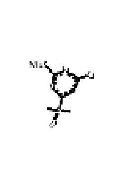 CSc1nc(Cl)cc(P(C)(C)=O)n1